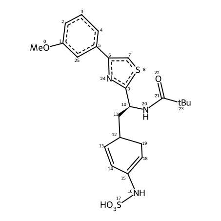 COc1cccc(-c2csc([C@H](CC3C=CC(NS(=O)(=O)O)=CC3)NC(=O)C(C)(C)C)n2)c1